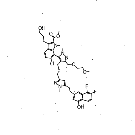 COCCOCc1nn(C)c(-c2c(Cl)ccc3c(CCCO)c(C(=O)OC)n(C)c23)c1CSCc1cc(CCc2cc(O)c3ccc(F)c(F)c3c2)n(C)n1